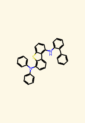 c1ccc(-c2ccccc2Nc2cccc3sc4c(N(c5ccccc5)c5ccccc5)cccc4c23)cc1